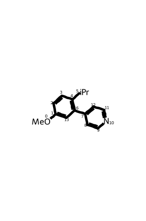 COc1ccc(C(C)C)c(-c2ccncc2)c1